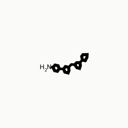 Nc1ccc(-c2cccc(Cc3cccc(-c4ccccc4)c3)c2)cc1